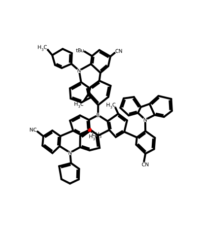 Cc1cc(-c2cc(C#N)ccc2N(C2=CCCC=C2)c2ccccc2)ccc1B(c1ccc(-c2cc(C#N)cc(C(C)(C)C)c2N(C2=CCC(C)C=C2)c2ccccc2)cc1C)c1c(C)cc(-c2cc(C#N)ccc2-n2c3ccccc3c3ccccc32)cc1C